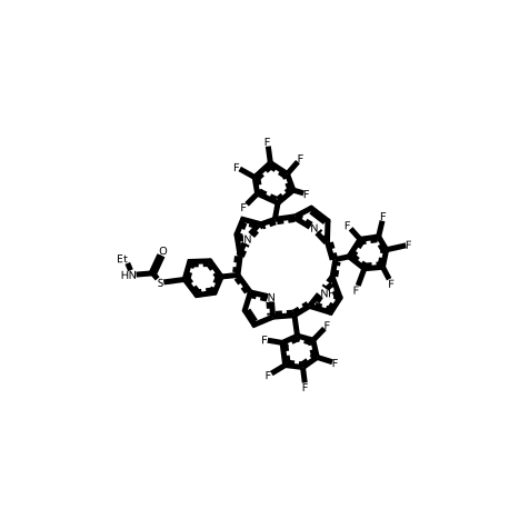 CCNC(=O)Sc1ccc(-c2c3nc(c(-c4c(F)c(F)c(F)c(F)c4F)c4ccc([nH]4)c(-c4c(F)c(F)c(F)c(F)c4F)c4nc(c(-c5c(F)c(F)c(F)c(F)c5F)c5ccc2[nH]5)C=C4)C=C3)cc1